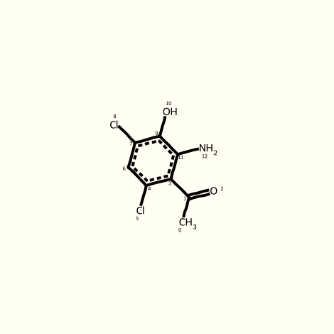 CC(=O)c1c(Cl)cc(Cl)c(O)c1N